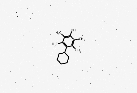 Cc1c(C)c(C2CCCCC2)c(C)c(C)c1O